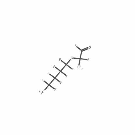 O=C(F)C(F)(OC(F)(F)C(F)(F)C(F)(F)C(F)(F)C(F)(F)F)C(F)(F)F